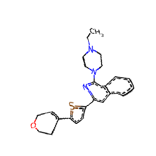 CCN1CCN(c2nc(-c3ccc(C4=CCOCC4)s3)cc3ccccc23)CC1